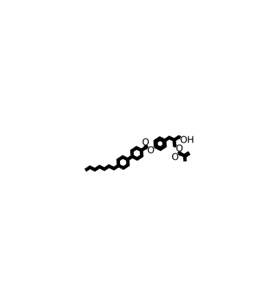 C=C(C)C(=O)OCC(CO)Cc1ccc(OC(=O)C2CCC(C3CCC(CCCCCCC)CC3)CC2)cc1